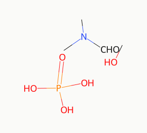 CN(C)C=O.CO.O=P(O)(O)O